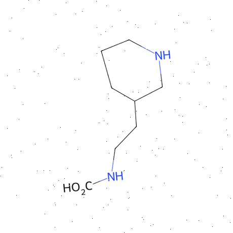 O=C(O)NCCC1CCCNC1